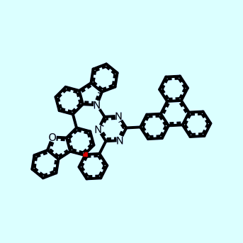 c1ccc(-c2nc(-c3ccc4c5ccccc5c5ccccc5c4c3)nc(-n3c4ccccc4c4cccc(-c5cccc6c5oc5ccccc56)c43)n2)cc1